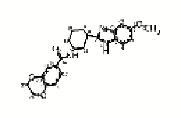 COc1ccc2[nH]c(C3CCCC(NC(=O)c4ccc5c(c4)OCCO5)C3)nc2c1